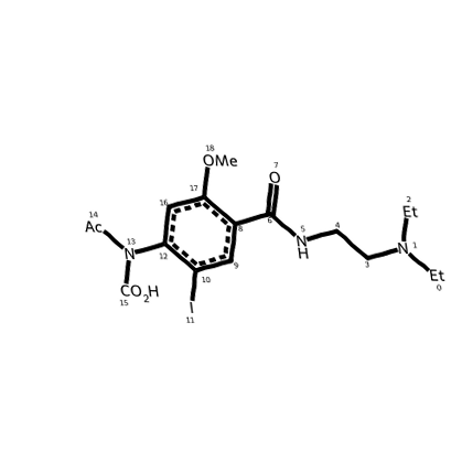 CCN(CC)CCNC(=O)c1cc(I)c(N(C(C)=O)C(=O)O)cc1OC